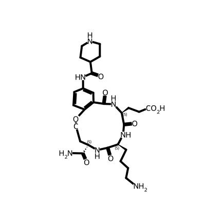 NCCCC[C@@H]1NC(=O)[C@H](CCC(=O)O)NC(=O)c2cc(NC(=O)C3CCNCC3)ccc2OCC[C@@H](C(N)=O)NC1=O